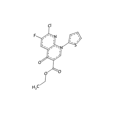 CCOC(=O)c1cn(-c2cccs2)c2nc(Cl)c(F)cc2c1=O